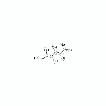 O=[C]([Na])[C@H](O)[C@@H](O)[C@H](O)[C@H](O)CO